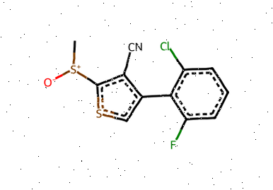 C[S+]([O-])c1scc(-c2c(F)cccc2Cl)c1C#N